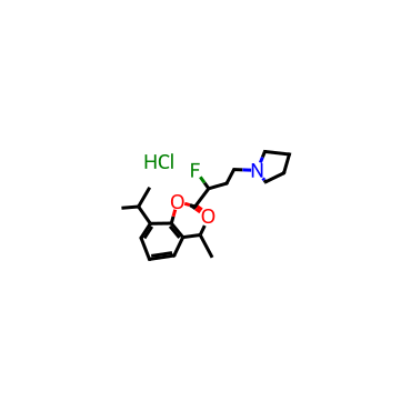 CC(C)c1cccc(C(C)C)c1OC(=O)C(F)CCN1CCCC1.Cl